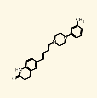 Cc1cccc(N2CCN(CC/C=C/c3ccc4c(c3)CCC(=O)N4)CC2)c1